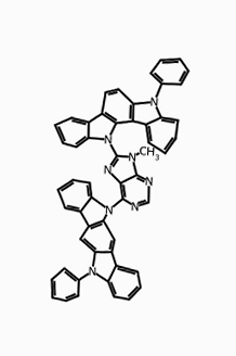 Cn1c(-n2c3ccccc3c3ccc4c(c5ccccc5n4-c4ccccc4)c32)nc2c(-n3c4ccccc4c4cc5c(cc43)c3ccccc3n5-c3ccccc3)ncnc21